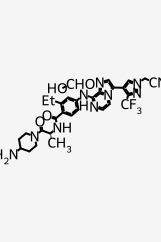 CCc1cc(Nc2nccn3c(-c4cn(CC#N)nc4C(F)(F)F)cnc23)ccc1C(=O)N[C@H](C)C(=O)N1CCC(N)CC1.O=CO